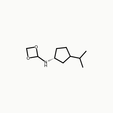 CC(C)C1CC[C@@H](NC2OCO2)C1